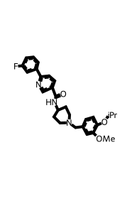 COc1cc(CN2CCC(NC(=O)c3ccc(-c4cccc(F)c4)nc3)CC2)ccc1OC(C)C